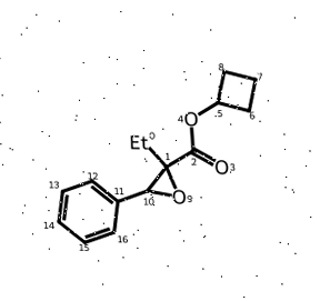 CCC1(C(=O)OC2CCC2)OC1c1ccccc1